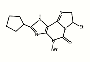 CCCN1C(=O)N2C(=NCC2CC)c2[nH]c(C3CCCC3)nc21